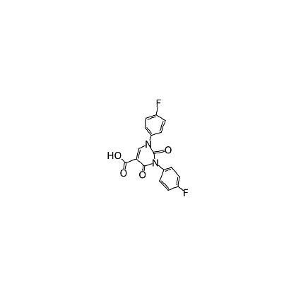 O=C(O)c1cn(-c2ccc(F)cc2)c(=O)n(-c2ccc(F)cc2)c1=O